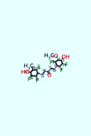 COc1c(O)c(F)c(F)c(/C=C/C(=O)/C=C/c2c(F)c(C)c(O)c(F)c2F)c1F